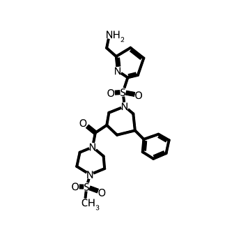 CS(=O)(=O)N1CCN(C(=O)C2CC(c3ccccc3)CN(S(=O)(=O)c3cccc(CN)n3)C2)CC1